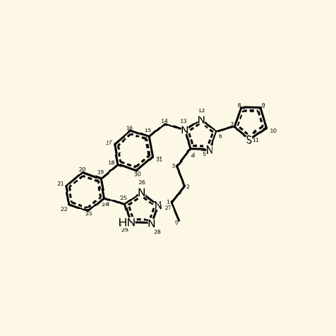 CCCCc1nc(-c2cccs2)nn1Cc1ccc(-c2ccccc2-c2nnn[nH]2)cc1